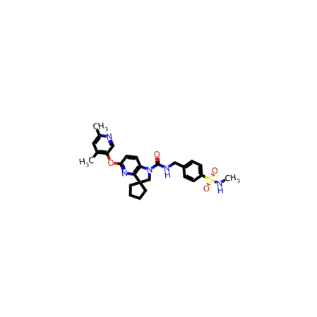 CNS(=O)(=O)c1ccc(CNC(=O)N2CC3(CCCC3)c3nc(Oc4cnc(C)cc4C)ccc32)cc1